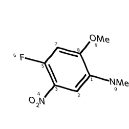 CNc1cc([N+](=O)[O-])c(F)cc1OC